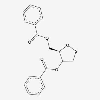 O=C(OC[C@H]1OSCC1OC(=O)c1ccccc1)c1ccccc1